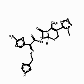 Cn1nnnc1C1=C(C(=O)O)N2C(=O)[C@@H](NC(=O)C(=NOCc3c[nH]cn3)c3csc(N)n3)[C@@H]2SC1